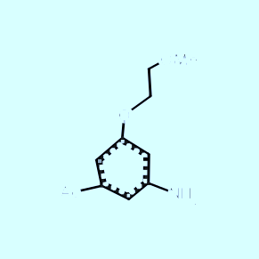 COCCOc1cc(N)cc(C(C)=O)c1